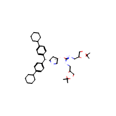 CC1(C)OCC(C/N=C(\NCC2COC(C)(C)O2)O[C@H]2CN[C@@H](C(c3ccc(C4CCCCC4)cc3)c3ccc(C4CCCCC4)cc3)C2)O1